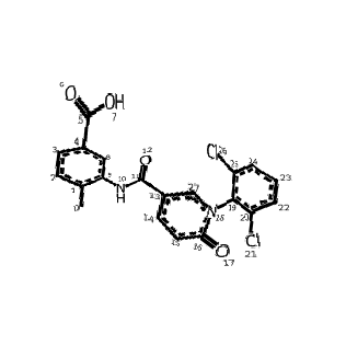 Cc1ccc(C(=O)O)cc1NC(=O)c1ccc(=O)n(-c2c(Cl)cccc2Cl)c1